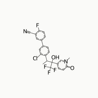 CC(c1ccc(-c2ccc(F)c(C#N)c2)cc1Cl)C(O)(c1ccc(=O)n(C)c1)C(F)(F)F